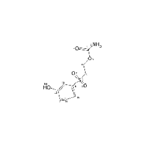 NC(=O)OCCS(=O)(=O)c1cccc(O)c1